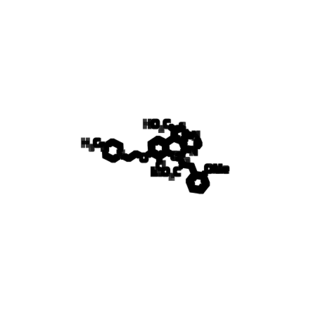 CCOC(=O)[C@@H](Cc1ccccc1OC)Oc1ncnc2sc(C(=O)O)c(-c3ccc(OCCN4CCN(C)CC4)c(Cl)c3C)c12